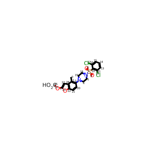 Cc1c(N2CCN(S(=O)(=O)c3c(Cl)cccc3Cl)CC2)ccc2oc(OC(=O)O)cc12